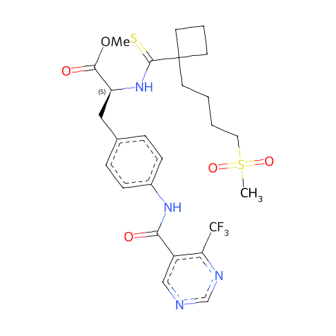 COC(=O)[C@H](Cc1ccc(NC(=O)c2cncnc2C(F)(F)F)cc1)NC(=S)C1(CCCCS(C)(=O)=O)CCC1